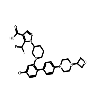 O=C(O)c1cnn(C2CCCN(c3cc(Cl)ccc3-c3ccc(N4CCN(C5COC5)CC4)cc3)C2)c1C(F)F